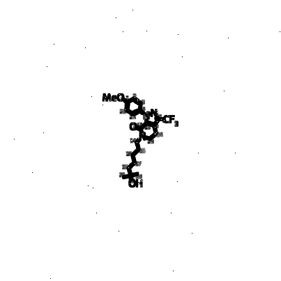 COc1ccc(-n2nc(C(F)(F)F)c3c2C(=O)N(CCCCCC(C)(C)O)CC3)cc1